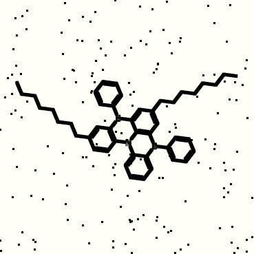 CCCCCCCCc1ccc2c(c1)B(c1ccccc1)c1cc(CCCCCCCC)cc3c1N2c1ccccc1B3c1ccccc1